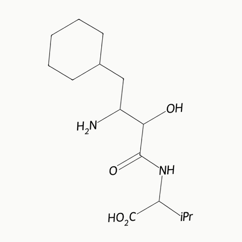 CC(C)C(NC(=O)C(O)C(N)CC1CCCCC1)C(=O)O